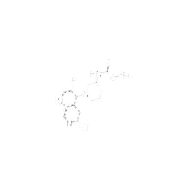 CC(C)(C)OC(=O)NC1CCCN(c2c(F)cnc3cnc(Cl)cc23)C1